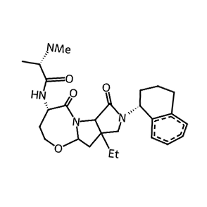 CCC12CC3OCC[C@H](NC(=O)[C@H](C)NC)C(=O)N3C1C(=O)N([C@@H]1CCCc3ccccc31)C2